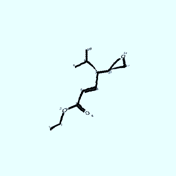 CCOC(=O)/C=C/[C@@H](C(C)C)[C@@H]1CO1